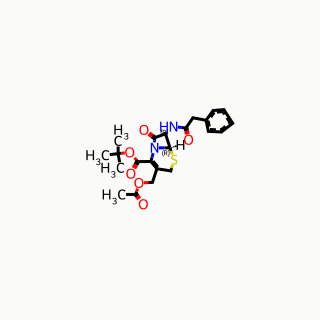 CC(=O)OCC1=C(C(=O)OC(C)(C)C)N2C(=O)[C@@H](NC(=O)Cc3ccccc3)[C@H]2SC1